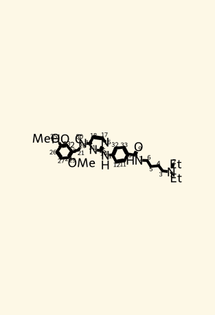 CCN(CC)CCCCNC(=O)c1ccc(Nc2nccc(N(Cc3cc(OC)ccc3OC)C(=O)O)n2)cc1